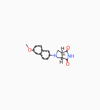 COc1ccc2cc(N3C[C@@H]4C(=O)NC(=O)[C@@H]4C3)ccc2c1